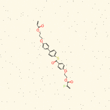 C=CC(=O)OCCCOc1ccc(-c2ccc(SC(=O)c3ccc(OCCOC(=O)C(=C)F)cc3)cc2)cc1